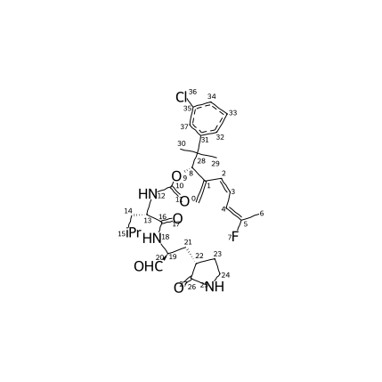 C=C(/C=C\C=C(/C)F)[C@H](OC(=O)N[C@@H](CC(C)C)C(=O)N[C@H](C=O)C[C@@H]1CCNC1=O)C(C)(C)c1cccc(Cl)c1